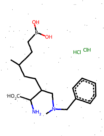 CC(CCB(O)O)CCC(CN(C)Cc1ccccc1)C(N)C(=O)O.Cl.Cl